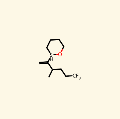 C=C(C(C)CCC(F)(F)F)[SiH]1CCCCO1